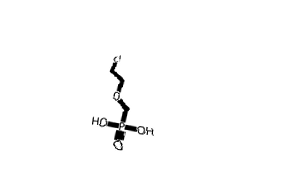 O=P(O)(O)COCCCl